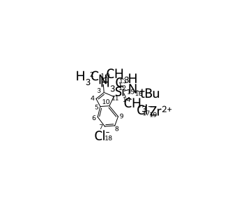 CN(C)C1=Cc2ccccc2C1[Si](C)(C)NC(C)(C)C.[Cl-].[Cl-].[Zr+2]